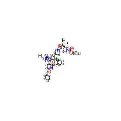 C[C@H]1CN(C(=O)OC(C)(C)C)CC[C@H]1C(=O)N1CC=C(c2cc3c(cc2F)c(-c2ccc(OCc4ccccc4)nc2OCc2ccccc2)nn3C)CC1